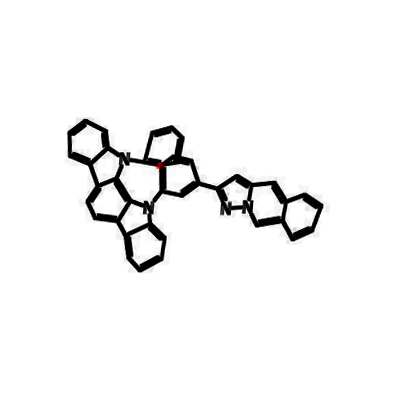 c1ccc(-n2c3ccccc3c3ccc4c5ccccc5n(-c5cccc(-c6cc7cc8ccccc8cn7n6)c5)c4c32)cc1